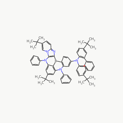 CC(C)(C)c1ccc(N(c2ccc3c(c2)N(c2ccccc2)c2cc(C(C)(C)C)cc4c2B3c2nc3ccc(C(C)(C)C)cn3c2N4c2ccccc2)c2ccc(C(C)(C)C)cc2-c2ccccc2)cc1